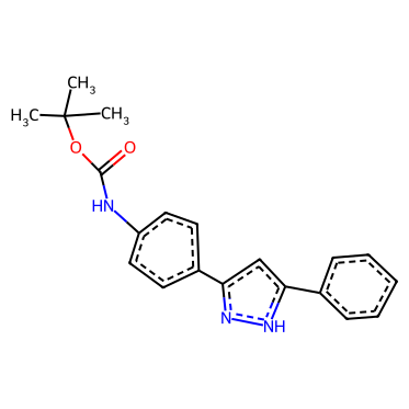 CC(C)(C)OC(=O)Nc1ccc(-c2cc(-c3ccccc3)[nH]n2)cc1